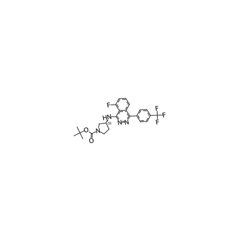 CC(C)(C)OC(=O)N1CC[C@H](Nc2nnc(-c3ccc(C(F)(F)F)cc3)c3cccc(F)c23)C1